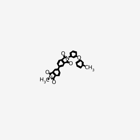 Cc1cccc(Oc2cccc(N3C(=O)c4ccc(-c5ccc6c(c5)C(=O)N(C)C6=O)cc4C3=O)c2)c1